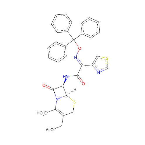 CC(=O)OCC1=C(C(=O)O)N2C(=O)[C@@H](NC(=O)C(=NOC(c3ccccc3)(c3ccccc3)c3ccccc3)c3cscn3)[C@H]2SC1